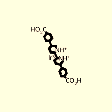 O=C(O)c1ccc(-c2ccc(-c3ccc(-c4ccc(C(=O)O)cc4)c[nH+]3)[nH+]c2)cc1.[Ir+3]